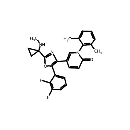 CNC1(c2nc(-c3ccc(=O)n(-c4c(C)cccc4C)c3)c(-c3cccc(F)c3F)o2)CC1